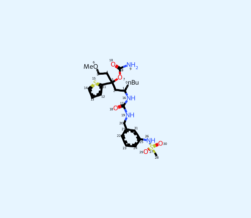 CCCCC(CC(CCOC)(OC(N)=O)c1cccs1)NC(=O)NCc1cccc(NS(C)(=O)=O)c1